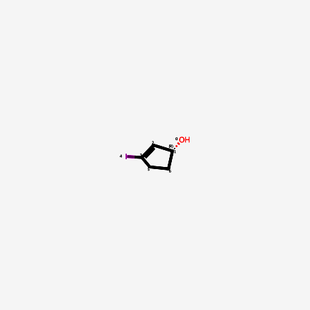 O[C@H]1C=C(I)CC1